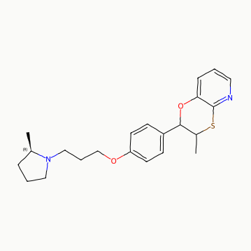 CC1Sc2ncccc2OC1c1ccc(OCCCN2CCC[C@H]2C)cc1